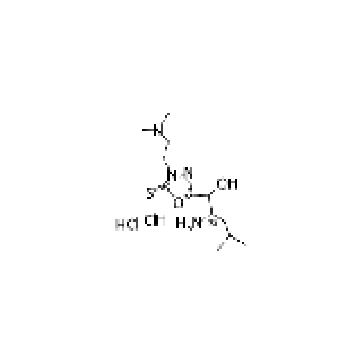 CC(C)C[C@H](N)C(O)c1nn(CCN(C)C)c(=S)o1.Cl.Cl